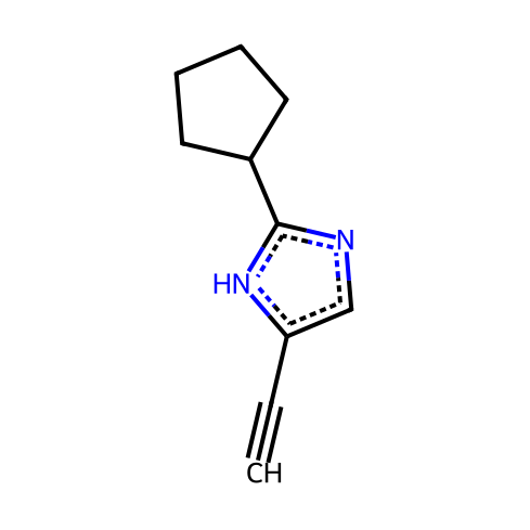 C#Cc1cnc(C2CCCC2)[nH]1